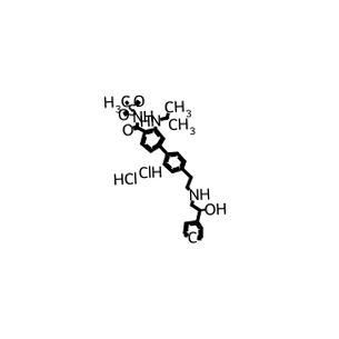 CC(C)Nc1cc(-c2ccc(CCNC[C@@H](O)c3ccccc3)cc2)ccc1C(=O)NS(C)(=O)=O.Cl.Cl